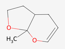 CC12OC=CCC1CCO2